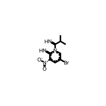 CC(C)C(=N)n1cc(Br)cc([N+](=O)[O-])c1=N